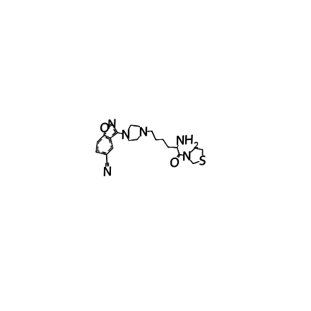 N#Cc1ccc2onc(N3CCN(CCCCC(N)C(=O)N4CCSC4)CC3)c2c1